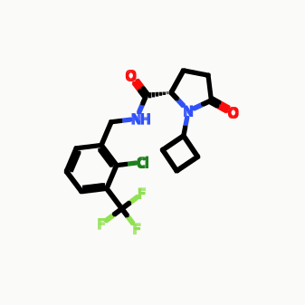 O=C(NCc1cccc(C(F)(F)F)c1Cl)[C@@H]1CCC(=O)N1C1CCC1